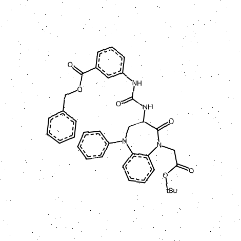 CC(C)(C)OC(=O)CN1C(=O)C(NC(=O)Nc2cccc(C(=O)OCc3ccccc3)c2)CN(c2ccccc2)c2ccccc21